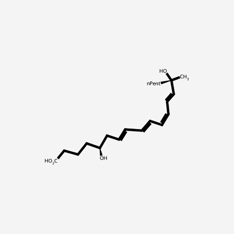 CCCCC[C@](C)(O)/C=C/C=C\C=C\C=C\C[C@@H](O)CCCC(=O)O